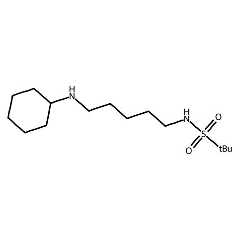 CC(C)(C)S(=O)(=O)NCCCCCNC1CCCCC1